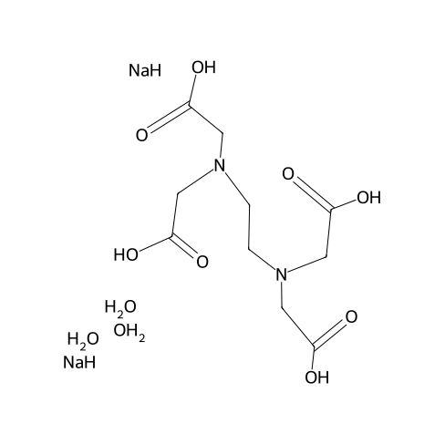 O.O.O.O=C(O)CN(CCN(CC(=O)O)CC(=O)O)CC(=O)O.[NaH].[NaH]